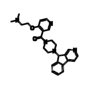 CN(C)CCOc1ccncc1C(=O)N1CCN(C2c3ccccc3-c3ccncc32)CC1